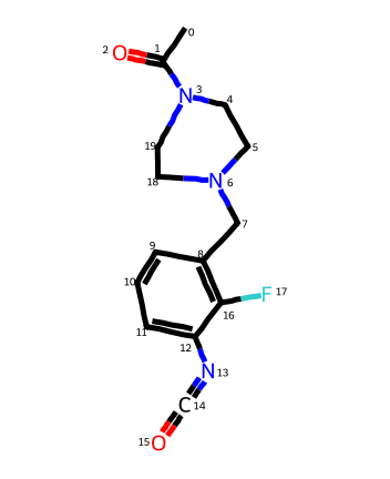 CC(=O)N1CCN(Cc2cccc(N=C=O)c2F)CC1